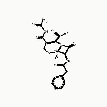 N=C(N)NC(=O)C1=C(C(=O)O)N2C(=O)C(NC(=O)Cc3ccccc3)[C@H]2SC1